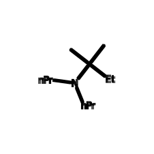 CCCN(CCC)C(C)(C)CC